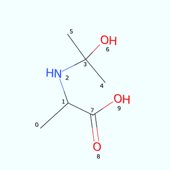 CC(NC(C)(C)O)C(=O)O